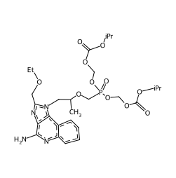 CCOCc1nc2c(N)nc3ccccc3c2n1CC(C)OCP(=O)(OCOC(=O)OC(C)C)OCOC(=O)OC(C)C